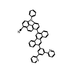 N#Cc1ccc2c3c1ccc1c(-c4cc5c6ccccc6c(-c6cc(-c7ccccn7)cc(-c7ccccn7)c6)cc5c5ccccc45)ccc(c13)n2-c1ccccc1